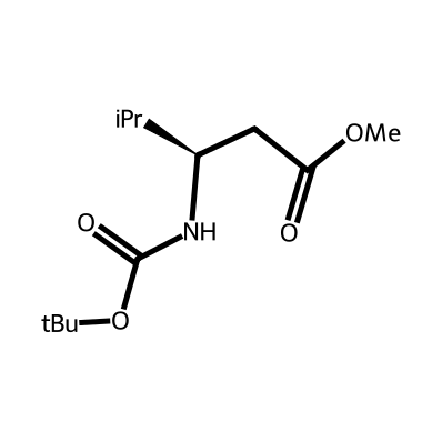 COC(=O)C[C@@H](NC(=O)OC(C)(C)C)C(C)C